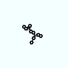 c1ccc(-c2ccc(N(c3ccc4ccccc4c3)c3ccc4cc(-n5c6ccccc6c6c7ccccc7ccc65)ccc4c3)cc2)cc1